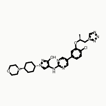 C[C@@H](Cn1cnnn1)Oc1cc(-c2cnc(Nc3cn([C@H]4CC[C@H](N5CCOCC5)CC4)nc3O)nc2)ccc1Cl